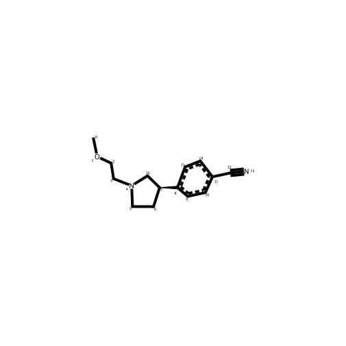 COCCN1CC[C@H](c2ccc(C#N)cc2)C1